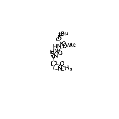 COC[C@H](NC(=O)c1ccn(C(C)(C)C)c1)C(=O)Nc1nc(-c2ccc3c(c2)C(=O)N(C)CC3)cs1